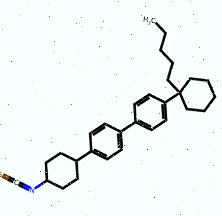 CCCCCC1(c2ccc(-c3ccc(C4CCC(N=C=S)CC4)cc3)cc2)CCCCC1